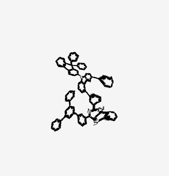 c1ccc(-c2cc(-c3ccccc3)cc(-c3cccc(-c4nc(-c5cccc(-c6cccc7c6c6cc(-c8ccccc8)ccc6n7-c6ccc7c(c6)C(c6ccccc6)(c6ccccc6)c6ccccc6-7)c5)nc5c4sc4ccccc45)c3)c2)cc1